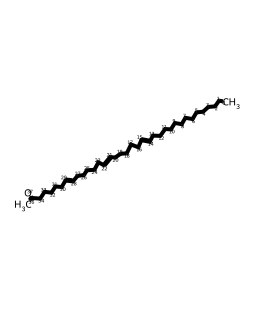 CCCCCCCCCCCCCC/C=C/CCCCC/C=C/CCCCC/C=C/CCCCCC(C)=O